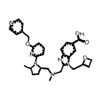 CC1CCC(CN(C)Cc2nc3ccc(C(=O)O)cc3n2CC2CCO2)N1c1cccc(OCc2ccncc2)n1